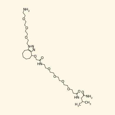 CC(C)[C@H](NC(=O)CCOCCOCCOCCOCCNC(=O)COC1CCCCCc2c1nnn2CCOCCOCCOCCN)C(N)=O